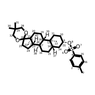 Cc1ccc(S(=O)(=O)O[C@H]2CC[C@@]3(C)[C@@H](CC[C@@H]4[C@@H]3CC[C@@]3(C)[C@H]4CCC34OCC(C)(C)CO4)C2)cc1